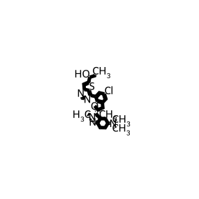 CCC(O)c1cc2ncnc(-c3cc(Cl)cc4c3O[C@@H](C3N(C)N=C5CCC(N(C)C)CC53C)C4)c2s1